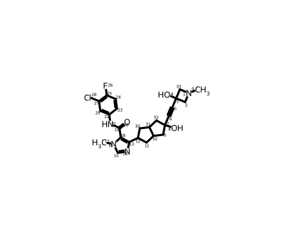 CN1CC(O)(C#CC2(O)CC3CC(c4ncn(C)c4C(=O)Nc4ccc(F)c(Cl)c4)CC3C2)C1